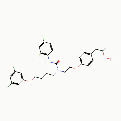 CCOC(Cc1ccc(OCCN(CCCCOc2cc(Cl)cc(Cl)c2)C(=O)Nc2ccc(F)cc2F)cc1)C(=O)O